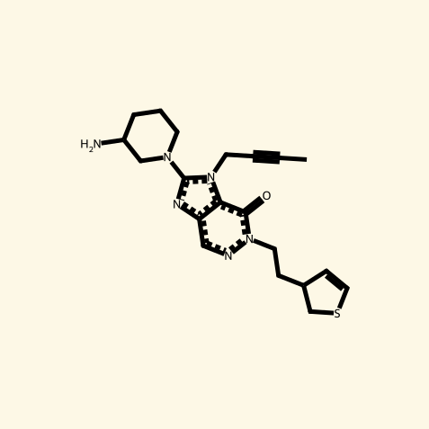 CC#CCn1c(N2CCCC(N)C2)nc2cnn(CCC3C=CSC3)c(=O)c21